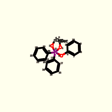 CCCCCCCCCCOP(OCCCCCCCCCC)(Oc1ccccc1)(c1ccccc1)c1ccccc1